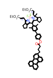 CCOC(=O)/C=C/c1c2c(c3n1[B-](F)(F)N1C(=C3c3c(C)cc(-c4ccc(OC(=O)CCCc5ccc6c7cccc8cccc(c9cccc5c96)c87)cc4)cc3C)C3=C(CCC3)C1(C)/C=C/C(=O)OCC)CCC2